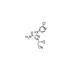 N#CCC(C1CC1)n1cc(C(N)=O)c(Nc2ccnc(Cl)c2)n1